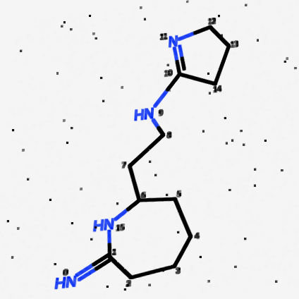 N=C1CCCCC(CCNC2=NCCC2)N1